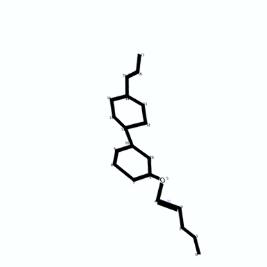 CCC/C=C/OC1CCCC(C2CCC(CCC)CC2)C1